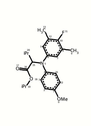 COc1ccc(N(c2cc(C)c(F)c(C)c2)C(C(=O)OC(C)C)C(C)C)cc1